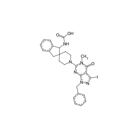 Cn1c(N2CCC3(CC2)Cc2ccccc2C3NC(=O)O)nc2c(c(I)nn2Cc2ccccc2)c1=O